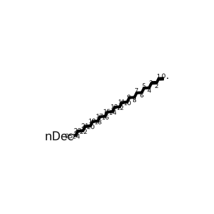 [CH]=C/C=C/CCCCCCCCCCCCCCCCCCCCCCCCCCCCCCC